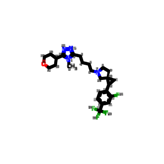 Cn1c(CCCCN2CC[C@]3(CC3c3ccc(C(F)(F)F)cc3F)C2)nnc1C1CCOCC1